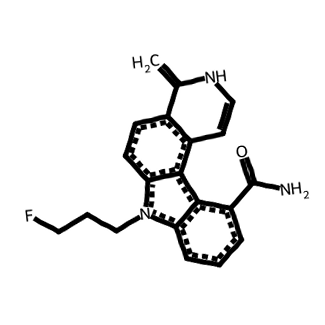 C=C1NC=Cc2c1ccc1c2c2c(C(N)=O)cccc2n1CCCF